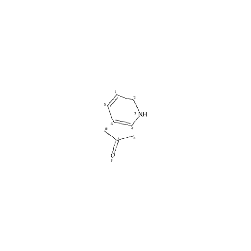 C1=CCNC=C1.CC(C)=O